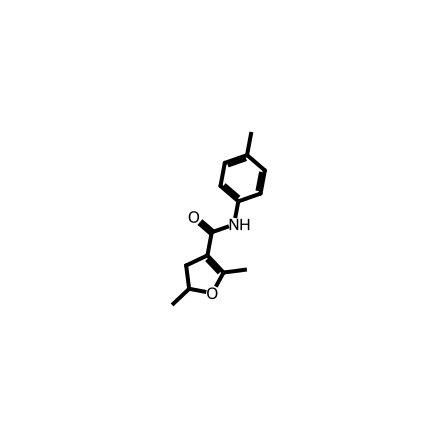 CC1=C(C(=O)Nc2ccc(C)cc2)CC(C)O1